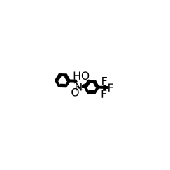 [O-][N+](=Cc1ccccc1)c1ccc(C(F)(F)F)cc1O